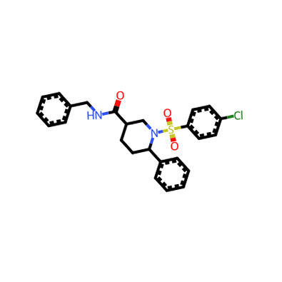 O=C(NCc1ccccc1)C1CCC(c2ccccc2)N(S(=O)(=O)c2ccc(Cl)cc2)C1